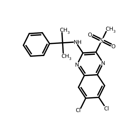 CC(C)(Nc1nc2cc(Cl)c(Cl)cc2nc1S(C)(=O)=O)c1ccccc1